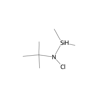 C[SiH](C)N(Cl)C(C)(C)C